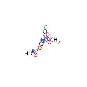 CCn1c(=O)[nH]/c(=N\c2ccc(OCCNC(C)=O)cc2)n(Cc2ccc(Cl)cc2)c1=O